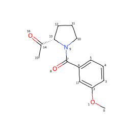 COc1cccc(C(=O)N2CCC[C@H]2C(C)=O)c1